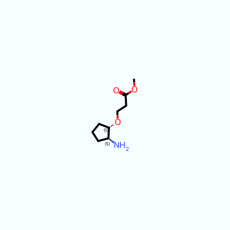 COC(=O)CCO[C@H]1CCC[C@@H]1N